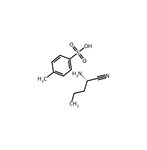 CCC[C@H](N)C#N.Cc1ccc(S(=O)(=O)O)cc1